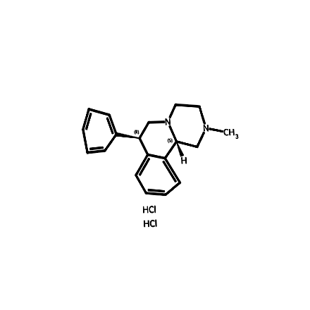 CN1CCN2C[C@H](c3ccccc3)c3ccccc3[C@H]2C1.Cl.Cl